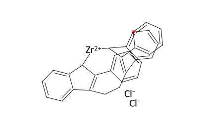 [Cl-].[Cl-].c1ccc(C2=C3CCC4=C(c5ccccc5)[CH]([Zr+2][CH]2c2ccccc23)c2ccccc24)cc1